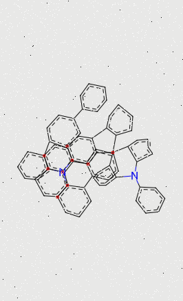 c1ccc(-c2ccc(-c3ccccc3N(c3ccc4c(c3)C3(c5ccccc5-4)c4ccccc4N(c4ccccc4)c4ccccc43)c3ccccc3-c3ccccc3-c3cccc4ccccc34)cc2)cc1